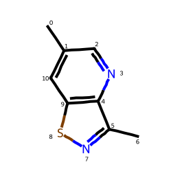 Cc1cnc2c(C)nsc2c1